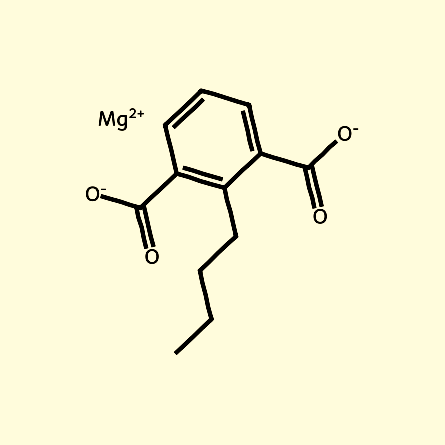 CCCCc1c(C(=O)[O-])cccc1C(=O)[O-].[Mg+2]